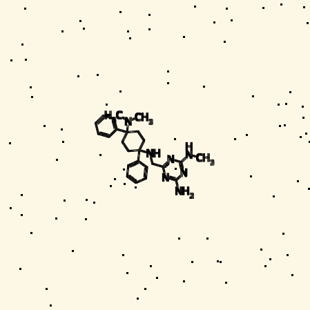 CNc1nc(N)nc(CNC2(c3ccccc3)CCC(c3ccccc3)(N(C)C)CC2)n1